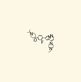 CCN1CCN(c2ccnn3cc(-c4ccc(C5(OC)CCN(C(C)C)CC5)cc4F)cc23)CC1